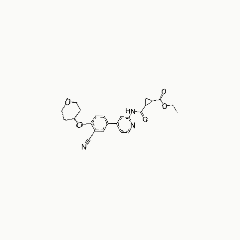 CCOC(=O)C1CC1C(=O)Nc1cc(-c2ccc(OC3CCOCC3)c(C#N)c2)ccn1